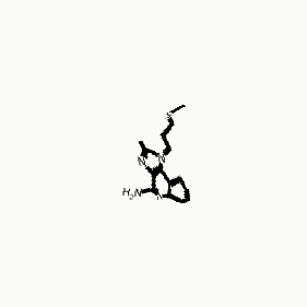 CSCCCn1c(C)nc2c(N)nc3ccccc3c21